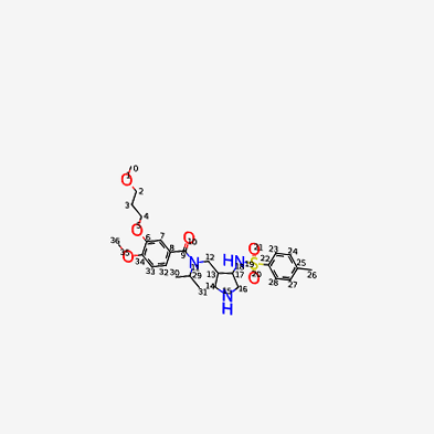 COCCCOc1cc(C(=O)N(CC2CNCC2NS(=O)(=O)c2ccc(C)cc2)C(C)C)ccc1OC